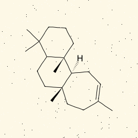 CC1=CC[C@H]2[C@](C)(CC1)CCC1C(C)(C)CCC[C@@]12C